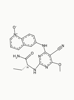 CC[C@@H](Nc1nc(Nc2ccc3c(ccc[n+]3[O-])c2)c(C#N)c(OC)n1)C(N)=O